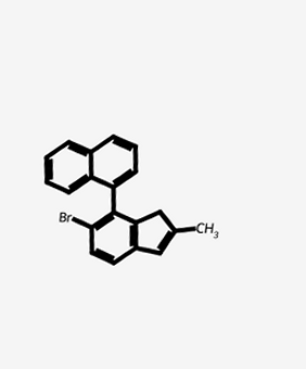 CC1=Cc2ccc(Br)c(-c3cccc4ccccc34)c2C1